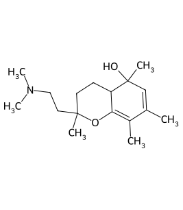 CC1=CC(C)(O)C2CCC(C)(CCN(C)C)OC2=C1C